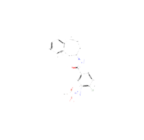 CS(=O)(=O)Nc1cc(C(=O)NC2CCCc3ccccc3C2)ccc1Cl